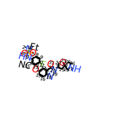 CCN(C)S(=O)(=O)Nc1ccc(F)c(Oc2ccc3ncn([C@@H]4CO[C@@]5(CCNC5)C4)c(=O)c3c2)c1C#N